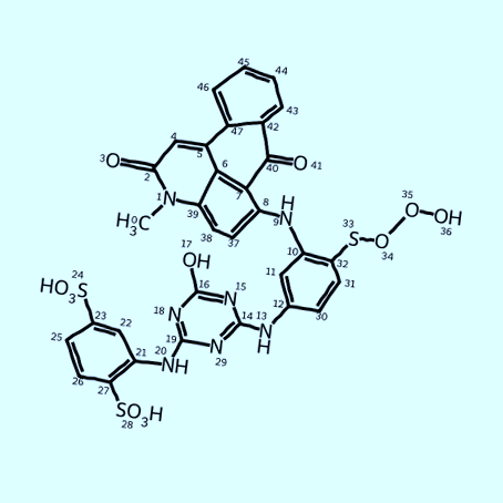 Cn1c(=O)cc2c3c(c(Nc4cc(Nc5nc(O)nc(Nc6cc(S(=O)(=O)O)ccc6S(=O)(=O)O)n5)ccc4SOOO)ccc31)C(=O)c1ccccc1-2